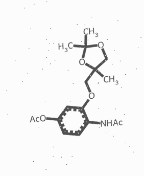 CC(=O)Nc1ccc(OC(C)=O)cc1OCC1(C)COC(C)(C)O1